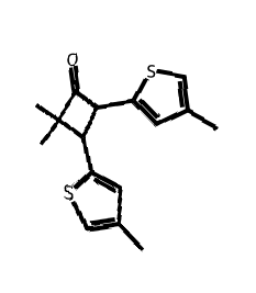 Cc1csc(C2C(=O)C(C)(C)C2c2cc(C)cs2)c1